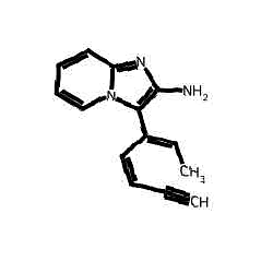 C#C/C=C\C(=C/C)c1c(N)nc2ccccn12